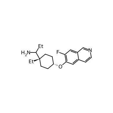 CCC(N)[C@]1(CC)CC[C@H](Oc2cc3ccncc3cc2F)CC1